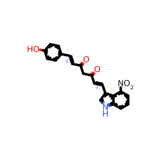 O=C(/C=C/c1ccc(O)cc1)CC(=O)/C=C/c1c[nH]c2cccc([N+](=O)[O-])c12